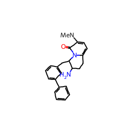 CNc1ccc2n(c1=O)C(Cc1cccc(-c3ccccc3)c1)C(N)CC2